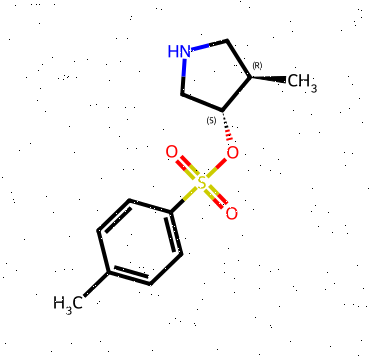 Cc1ccc(S(=O)(=O)O[C@@H]2CNC[C@H]2C)cc1